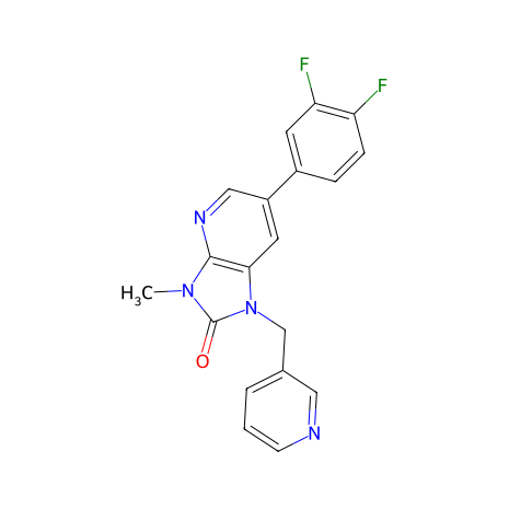 Cn1c(=O)n(Cc2cccnc2)c2cc(-c3ccc(F)c(F)c3)cnc21